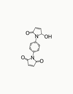 O=C1C=CC(=O)N1c1ccc(N2C(=O)C=CC2O)cc1